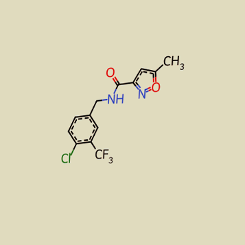 Cc1cc(C(=O)NCc2ccc(Cl)c(C(F)(F)F)c2)no1